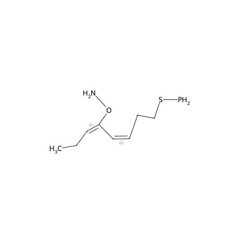 CC/C=C(\C=C/CCSP)ON